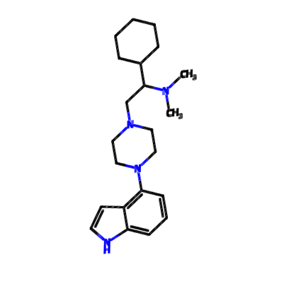 CN(C)C(CN1CCN(c2cccc3[nH]ccc23)CC1)C1CCCCC1